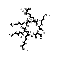 CC(C)[C@H](NC(=O)[C@H](CCCCN)NC(=O)[C@H](CCCNC(=N)N)NC(=O)[C@H](CCCCN)NC(=O)[C@H](CCCCN)NC(=O)[C@@H](N)CCCCN)C(=O)O